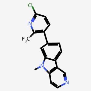 Cn1c2ccncc2c2ccc(-c3ccc(Cl)nc3C(F)(F)F)cc21